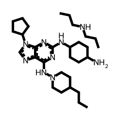 CCCC1CCN(Nc2nc(NC3CCC(N)CC3)nc3c2ncn3C2CCCC2)CC1.CCCNCCC